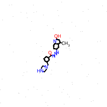 Cc1cc(O)nc2ccc(N=[N+]=NC(=O)c3cccc(CN4CCNCC4)c3)cc12